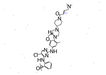 Cc1cc(Nc2ncc(Cl)c(Nc3ccccc3P(C)(C)=O)n2)cc2c1N1CCN(C3CCN(C(=O)/C=C/CN(C)C)CC3)C[C@@H]1CO2